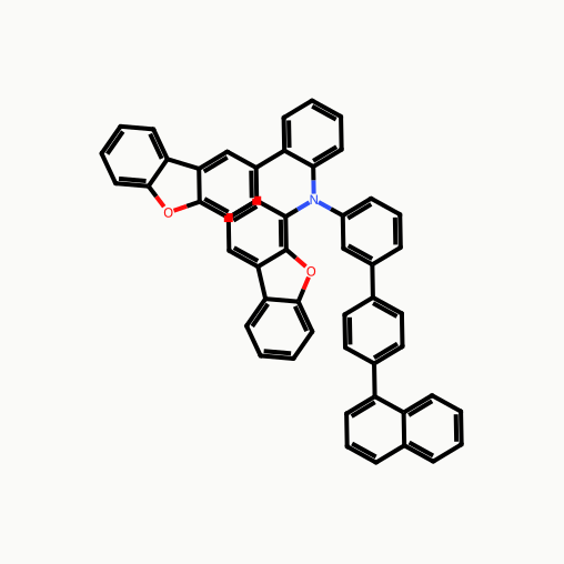 c1cc(-c2ccc(-c3cccc4ccccc34)cc2)cc(N(c2ccccc2-c2ccc3oc4ccccc4c3c2)c2cccc3c2oc2ccccc23)c1